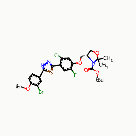 CC(C)Oc1ccc(-c2nnc(-c3cc(F)c(OC[C@@H]4COC(C)(C)N4C(=O)OC(C)(C)C)cc3Cl)s2)cc1Br